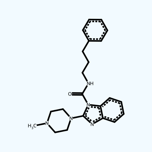 CN1CCN(c2nc3ccccc3n2C(=O)NCCCc2ccccc2)CC1